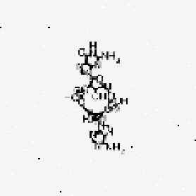 Nc1nc2c(ncn2[C@@H]2O[C@@H]3COP(=O)(O)OC4C(O)[C@@H](COP(=O)(O)OC2C3O)O[C@H]4n2cnc3c(N)ncnc32)c(=O)[nH]1